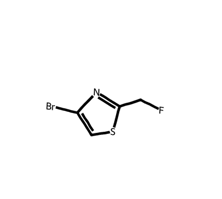 FCc1nc(Br)cs1